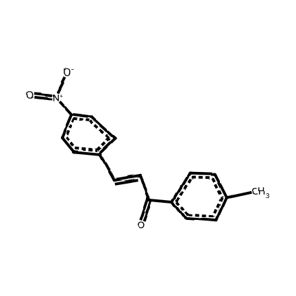 Cc1ccc(C(=O)/C=C/c2ccc([N+](=O)[O-])cc2)cc1